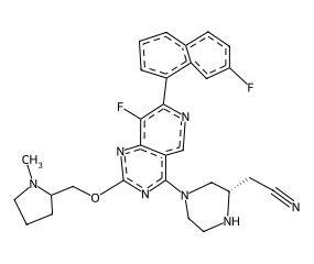 CN1CCCC1COc1nc(N2CCN[C@@H](CC#N)C2)c2cnc(-c3cccc4ccc(F)cc34)c(F)c2n1